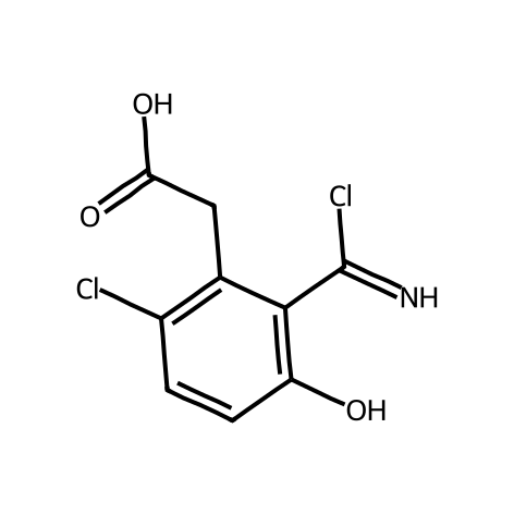 N=C(Cl)c1c(O)ccc(Cl)c1CC(=O)O